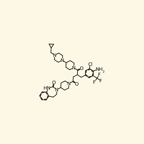 Nc1c(Cl)cc(CC(CC(=O)N2CCC(N3CCc4ccccc4NC3=O)CC2)C(=O)N2CCC(N3CCN(CC4CC4)CC3)CC2)cc1C(F)(F)F